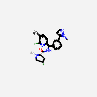 CC(=O)N1C[C@H](F)C[C@H]1C(=O)NC(c1cccc(-c2ccnn2C)c1)c1ccc(C(C)C)c(F)n1